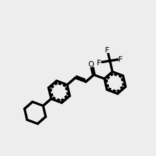 O=C(/C=C/c1ccc(C2CCCCC2)cc1)c1ccccc1C(F)(F)F